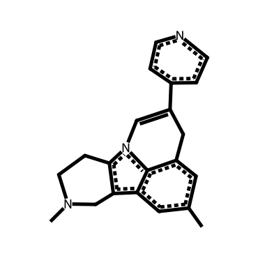 Cc1cc2c3c(c1)c1c(n3C=C(c3ccncc3)C2)CCN(C)C1